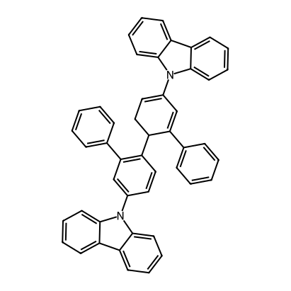 C1=C(c2ccccc2)C(c2ccc(-n3c4ccccc4c4ccccc43)cc2-c2ccccc2)CC=C1n1c2ccccc2c2ccccc21